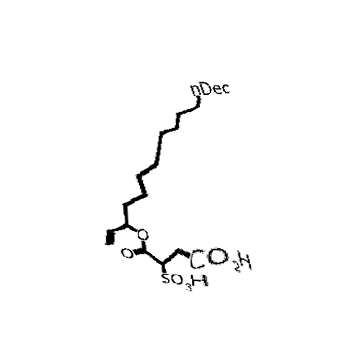 C=CC(CCCCCCCCCCCCCCCCCC)OC(=O)C(CC(=O)O)S(=O)(=O)O